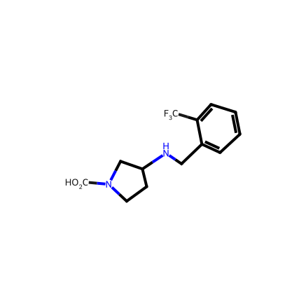 O=C(O)N1CCC(NCc2ccccc2C(F)(F)F)C1